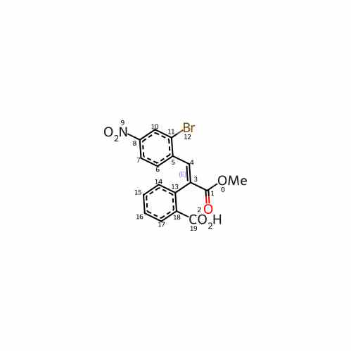 COC(=O)/C(=C/c1ccc([N+](=O)[O-])cc1Br)c1ccccc1C(=O)O